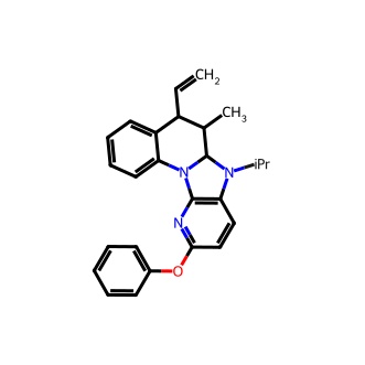 C=CC1c2ccccc2N2c3nc(Oc4ccccc4)ccc3N(C(C)C)C2C1C